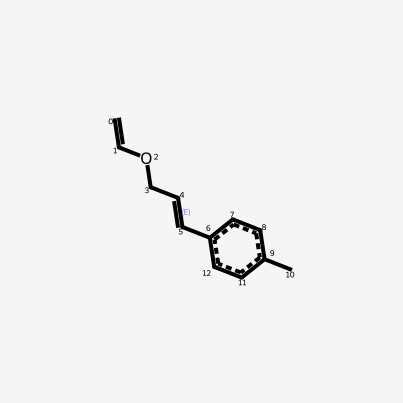 C=COC/C=C/c1ccc(C)cc1